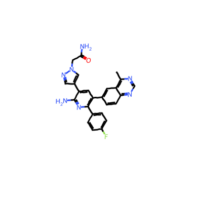 Cc1ncnc2ccc(-c3cc(-c4cnn(CC(N)=O)c4)c(N)nc3-c3ccc(F)cc3)cc12